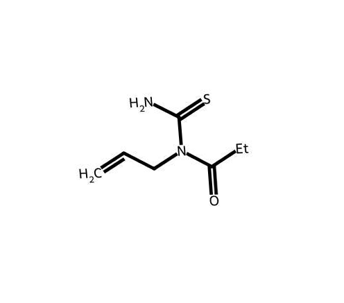 C=CCN(C(=O)CC)C(N)=S